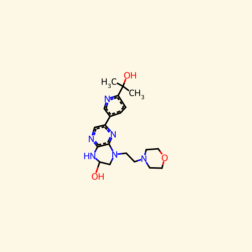 CC(C)(O)c1ccc(-c2cnc3c(n2)N(CCN2CCOCC2)CC(O)N3)cn1